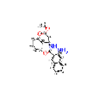 CC(C)(C)OC(=O)C[C@@H](NC(=O)c1cc2ccccc2cc1N)C1CCCCC1